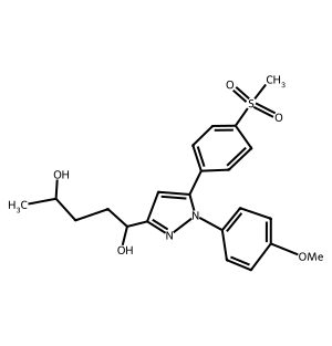 COc1ccc(-n2nc(C(O)CCC(C)O)cc2-c2ccc(S(C)(=O)=O)cc2)cc1